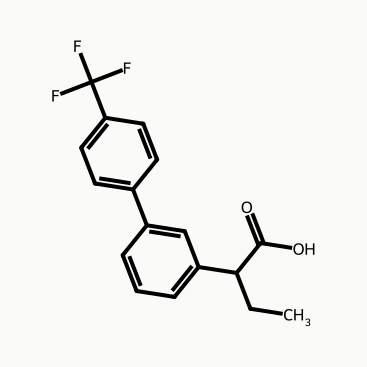 CCC(C(=O)O)c1cccc(-c2ccc(C(F)(F)F)cc2)c1